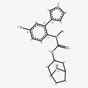 CN(C(=O)OC1CC2CCC(C1)N2)c1ccc(F)cc1-c1ccsc1